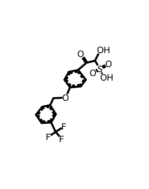 O=C(c1ccc(OCc2cccc(C(F)(F)F)c2)cc1)C(O)S(=O)(=O)O